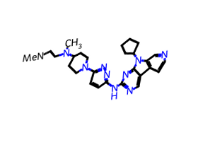 CNCCN(C)C1CCN(c2ccc(Nc3ncc4c5ccncc5n(C5CCCC5)c4n3)nn2)CC1